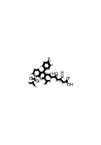 CC(C)c1nc2c(c(-c3ccc(F)cc3)c1C=CC(O)C[C@@H](O)CC(=O)O)CCCN2S(=O)(=O)C(C)C